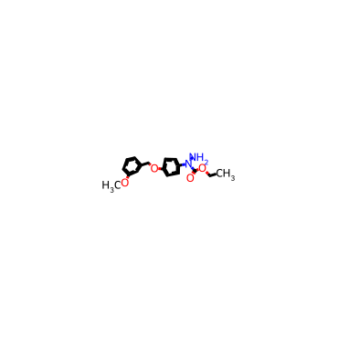 CCOC(=O)N(N)c1ccc(OCc2cccc(OC)c2)cc1